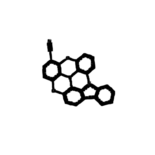 N#Cc1ccc2c3c1Oc1cccc4c1B3c1c(ccc3c5ccccc5n-4c13)O2